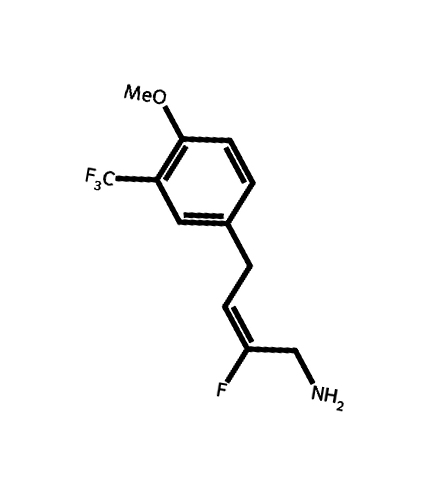 COc1ccc(C/C=C(/F)CN)cc1C(F)(F)F